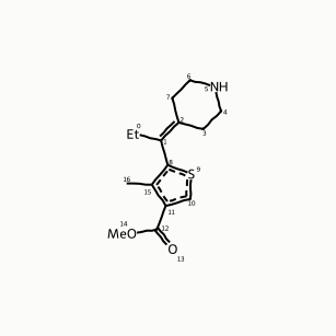 CCC(=C1CCNCC1)c1scc(C(=O)OC)c1C